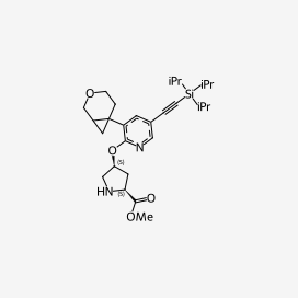 COC(=O)[C@@H]1C[C@H](Oc2ncc(C#C[Si](C(C)C)(C(C)C)C(C)C)cc2C23CCOCC2C3)CN1